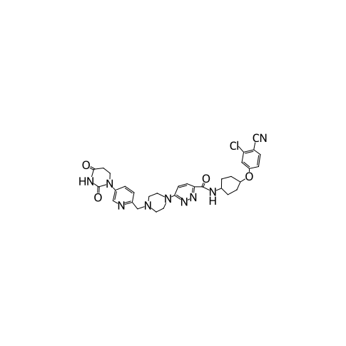 N#Cc1ccc(OC2CCC(NC(=O)c3ccc(N4CCN(Cc5ccc(N6CCC(=O)NC6=O)cn5)CC4)nn3)CC2)cc1Cl